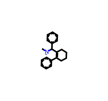 CN(C)C(C1=C(c2ccccc2)CCCC1)c1ccccc1